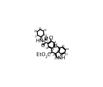 CCOC(=O)C(c1ccc(Cl)c(S(=O)(=O)NC2CCCCC2)c1)c1c[nH]c2cccc(Cl)c12